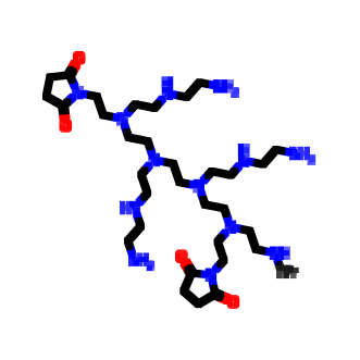 CCCNCCN(CCN(CCNCCN)CCN(CCNCCN)CCN(CCNCCN)CCN1C(=O)CCC1=O)CCN1C(=O)CCC1=O